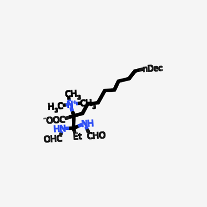 CCCCCCCCCCCCCCCCCCC(C(=O)[O-])(C(CC)(NC=O)NC=O)[N+](C)(C)C